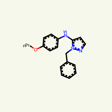 CCCOc1ccc(Nc2ccnn2Cc2ccccc2)cc1